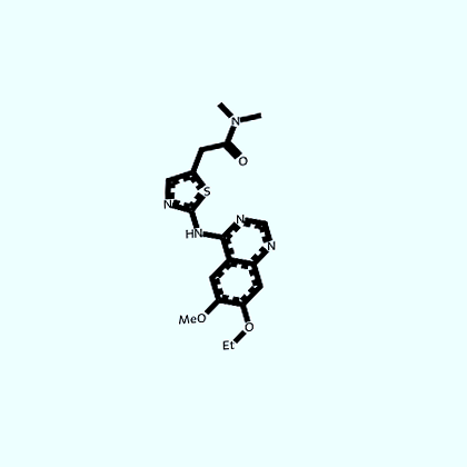 CCOc1cc2ncnc(Nc3ncc(CC(=O)N(C)C)s3)c2cc1OC